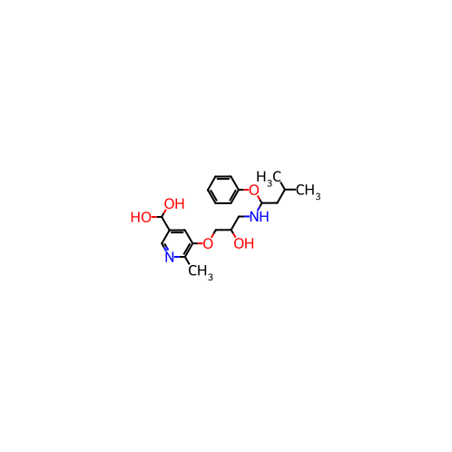 Cc1ncc(C(O)O)cc1OCC(O)CNC(CC(C)C)Oc1ccccc1